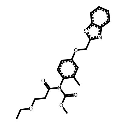 CCOCCC(=O)N(C(=O)OC)c1ccc(OCc2nc3ccccc3s2)cc1C